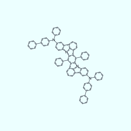 c1ccc(-c2ccc(N(c3ccccc3)c3ccc4c(c3)c3cccc5c6c(-c7ccccc7)c7c(c(-c8ccccc8)c6n4c35)c3cccc4c5cc(N(c6ccccc6)c6ccc(-c8ccccc8)cc6)ccc5n7c43)cc2)cc1